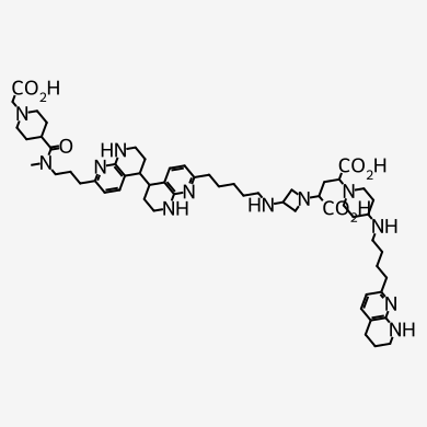 CN(CCCc1ccc2c(n1)NCCC2C1CCNc2nc(CCCCCNC3CN(C(CC(C(=O)O)N4CCC(NCCCCc5ccc6c(n5)NCCC6)CC4)C(=O)O)C3)ccc21)C(=O)C1CCN(CC(=O)O)CC1